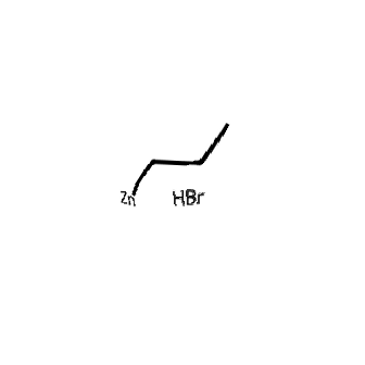 Br.CC[CH2][Zn]